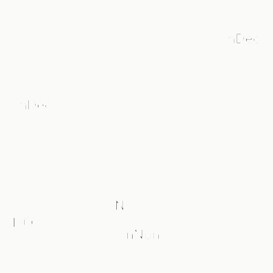 CCCCCCCCCCCCC(CCCCCCCCCCCC)CCCN(CCO)CCCCCCCCC